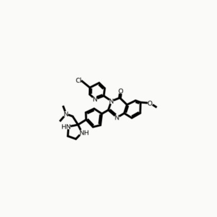 COc1ccc2nc(-c3ccc(C4(CN(C)C)NCCN4)cc3)n(-c3ccc(Cl)cn3)c(=O)c2c1